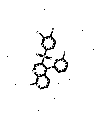 O=S(=O)(c1ccc(F)c(Cl)c1)c1cnc2c(F)cccc2c1-c1cccc(F)c1